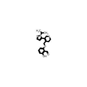 CC(C)n1nccc1C1=C(COc2cccc(O)c2C=O)CCSC1